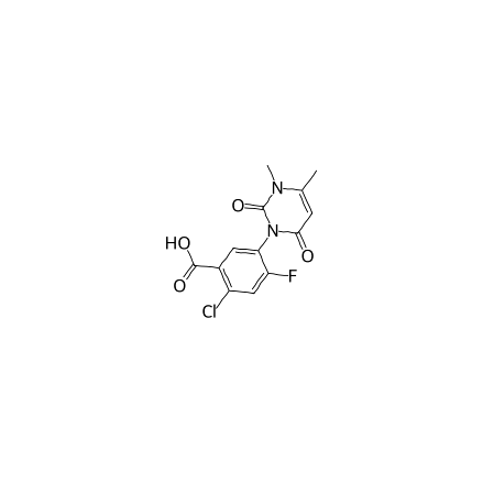 Cc1cc(=O)n(-c2cc(C(=O)O)c(Cl)cc2F)c(=O)n1C